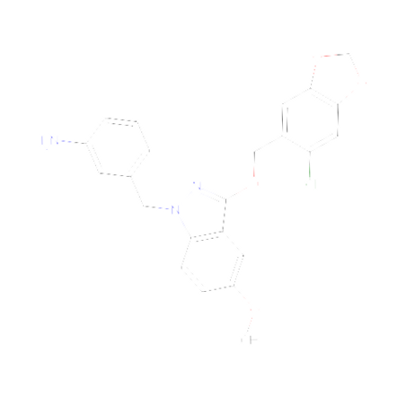 COc1ccc2c(c1)c(OCc1cc3c(cc1Cl)OCO3)nn2Cc1cccc(N)c1